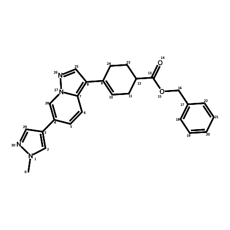 Cn1cc(-c2ccc3c(C4=CCC(C(=O)OCc5ccccc5)CC4)cnn3c2)cn1